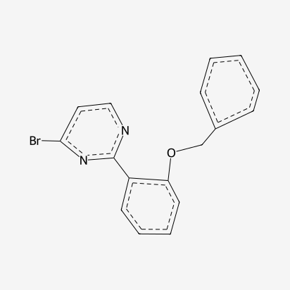 Brc1ccnc(-c2ccccc2OCc2ccccc2)n1